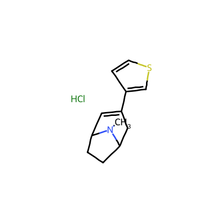 CN1C2C=C(c3ccsc3)CC1CC2.Cl